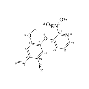 C=Cc1cc(OC)c(Oc2cccnc2[N+](=O)[O-])cc1F